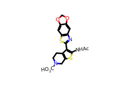 CC(=O)Nc1sc2c(c1-c1nc3cc4c(cc3s1)OCO4)CCN(C(=O)O)C2